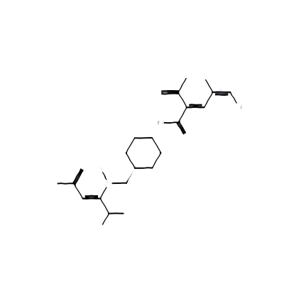 C=C(C)/C=C(/C(F)F)N(N)C[C@H]1CC[C@H](NC(=O)/C(=C/C(Cl)=C\N)C(=C)C)CC1